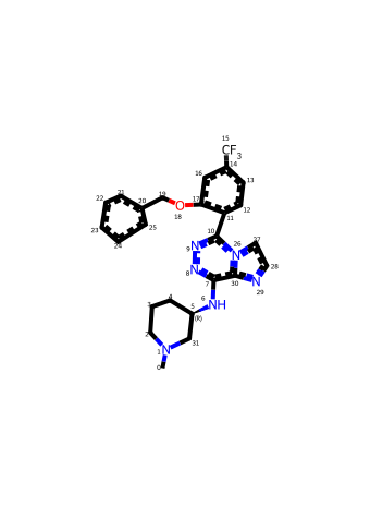 CN1CCC[C@@H](Nc2nnc(-c3ccc(C(F)(F)F)cc3OCc3ccccc3)n3ccnc23)C1